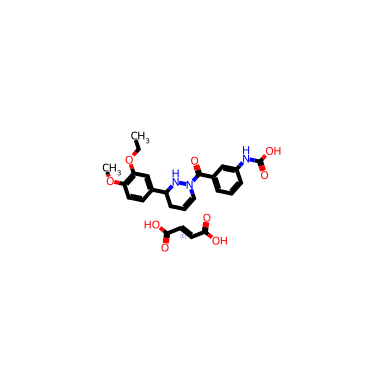 CCOc1cc(C2CC=CN(C(=O)c3cccc(NC(=O)O)c3)N2)ccc1OC.O=C(O)/C=C/C(=O)O